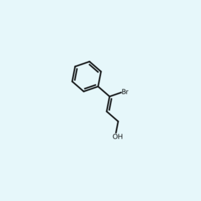 OCC=C(Br)c1ccccc1